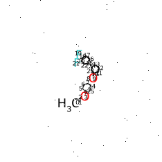 CCCO[C@H]1CC[C@H](COc2[c]ccc(-c3ccc(F)c(F)c3)c2)CC1